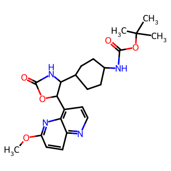 COc1ccc2nccc(C3OC(=O)NC3C3CCC(NC(=O)OC(C)(C)C)CC3)c2n1